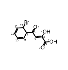 O=C(O)/C(O)=C/C(=O)C1C=CC=CC1Br